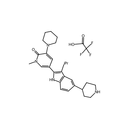 CC(C)c1c(-c2cc(N3CCCCC3)c(=O)n(C)c2)[nH]c2ccc(C3CCNCC3)cc12.O=C(O)C(F)(F)F